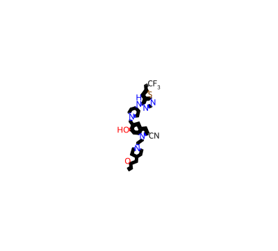 C=CC(=O)CC1CCN(CCn2c(C#N)cc3cc(CN4CCC(Nc5ncnc6sc(CC(F)(F)F)cc56)CC4)c(O)cc32)CC1